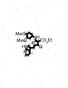 CCOC(=O)C1=C(Nc2ccc(OC)c(OC)c2)O/C(=C\c2c[nH]c3ncccc23)C1=O